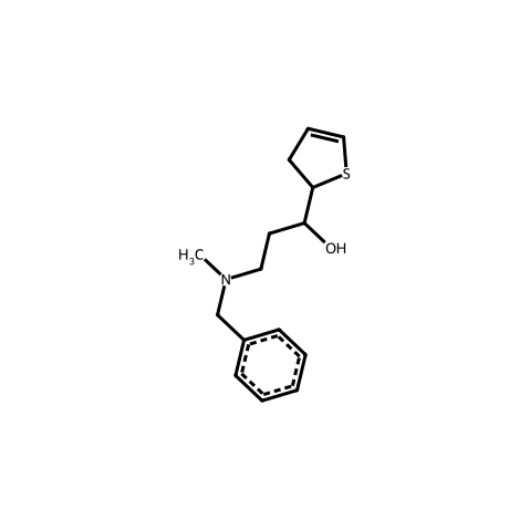 CN(CCC(O)C1CC=CS1)Cc1ccccc1